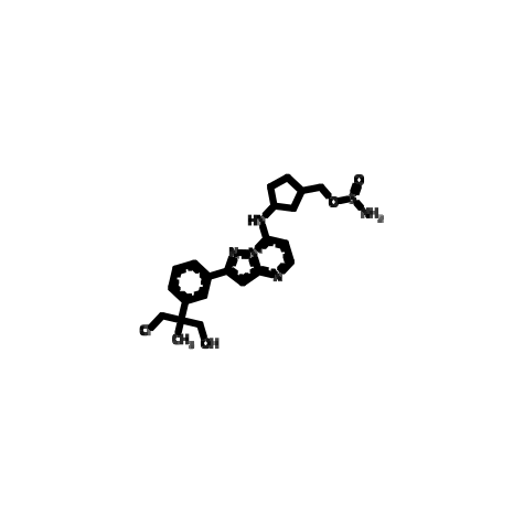 CC(CO)(CCl)c1cccc(-c2cc3nccc(NC4CCC(COS(N)=O)C4)n3n2)c1